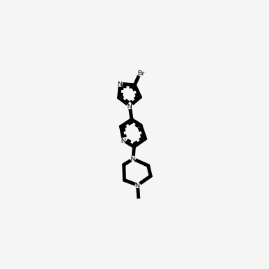 CN1CCN(c2ccc(-n3cnc(Br)c3)cn2)CC1